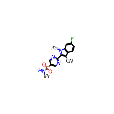 CC(C)NS(=O)(=O)c1cnc(-c2c(C#N)c3ccc(F)cc3n2C(C)C)nc1